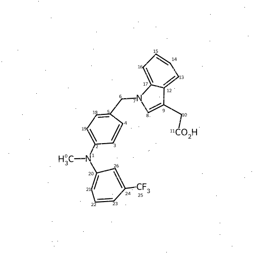 CN(c1ccc(Cn2cc(CC(=O)O)c3ccccc32)cc1)c1cccc(C(F)(F)F)c1